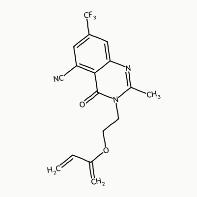 C=CC(=C)OCCn1c(C)nc2cc(C(F)(F)F)cc(C#N)c2c1=O